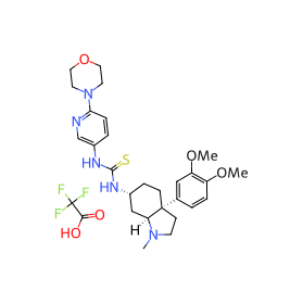 COc1ccc([C@@]23CC[C@@H](NC(=S)Nc4ccc(N5CCOCC5)nc4)C[C@@H]2N(C)CC3)cc1OC.O=C(O)C(F)(F)F